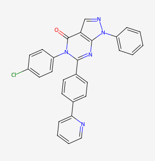 O=c1c2cnn(-c3ccccc3)c2nc(-c2ccc(-c3ccccn3)cc2)n1-c1ccc(Cl)cc1